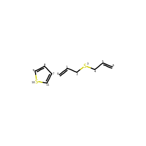 C=CCSCC=C.c1ccsc1